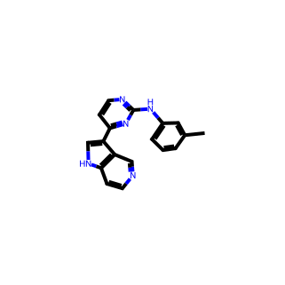 Cc1cccc(Nc2nccc(-c3c[nH]c4ccncc34)n2)c1